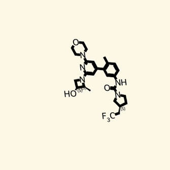 Cc1ccc(NC(=O)N2CC[C@@H](CC(F)(F)F)C2)cc1-c1cc(N2CCOCC2)nc(N2C[C@H](O)[C@@H]2C)c1